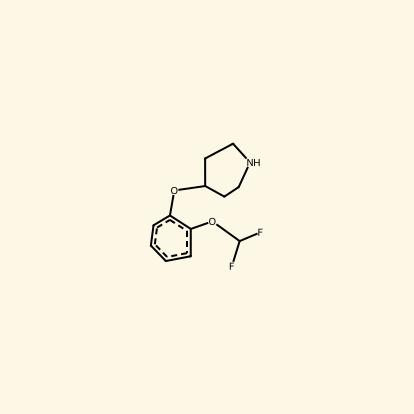 FC(F)Oc1ccccc1OC1CCNCC1